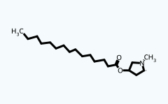 CCCCCCCCCCCCCCC(=O)OC1C[CH]N(C)C1